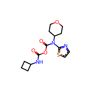 O=C(NC1CCC1)OC(=O)N(c1nccs1)C1CCOCC1